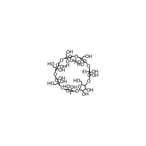 CCC1OC2OC3C(CO)OC(OC4C(C)OC(CC5C(CO)OC(OC6C(CO)OC(OC7C(CO)OC(OC8C(CO)OC(OC1C(O)C2O)C(O)C8O)C(O)C7O)C(O)C6O)C(O)C5O)C(O)C4O)C(O)C3O